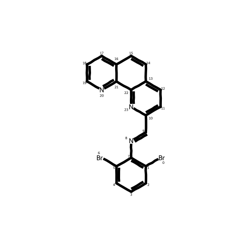 Brc1cccc(Br)c1N=Cc1ccc2ccc3cccnc3c2n1